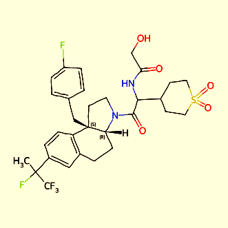 CC(F)(c1ccc2c(c1)CC[C@H]1N(C(=O)C(NC(=O)CO)C3CCS(=O)(=O)CC3)CC[C@@]21Cc1ccc(F)cc1)C(F)(F)F